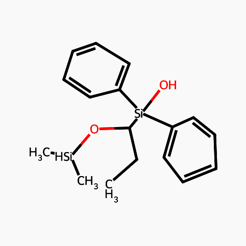 CCC(O[SiH](C)C)[Si](O)(c1ccccc1)c1ccccc1